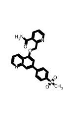 CS(=O)(=O)c1ccc(-c2cc(OCc3ncccc3C(N)=O)c3cccnc3c2)cc1